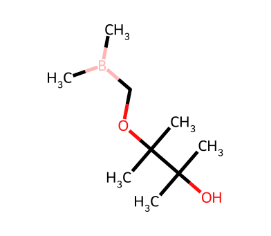 CB(C)COC(C)(C)C(C)(C)O